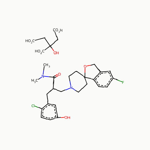 CN(C)C(=O)C(Cc1cc(O)ccc1Cl)CN1CCC2(CC1)OCc1cc(F)ccc12.O=C(O)CC(O)(CC(=O)O)C(=O)O